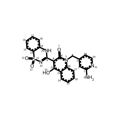 Nc1cc(Cn2c(=O)c(C3=NS(=O)(=O)c4ccccc4N3)c(O)c3ccccc32)ccn1